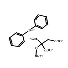 CCCCCCCCOC(CCCCCCCC)(CC(=O)[O-])C(=O)[O-].c1cc[c]([Sn+2][c]2ccccc2)cc1